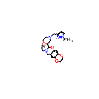 CC(C)CN(Cc1ccc2c(c1)OCCO2)C(=O)C1CN(Cc2ccn(C)n2)CCO1